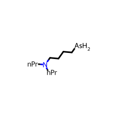 CCCN(CCC)CCCC[AsH2]